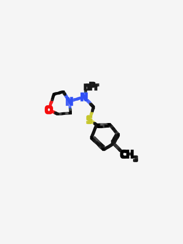 CCCN(CSc1ccc(C)cc1)N1CCOCC1